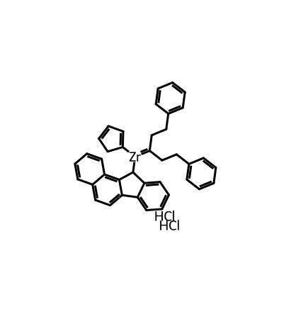 C1=CC[C]([Zr](=[C](CCc2ccccc2)CCc2ccccc2)[CH]2c3ccccc3-c3ccc4ccccc4c32)=C1.Cl.Cl